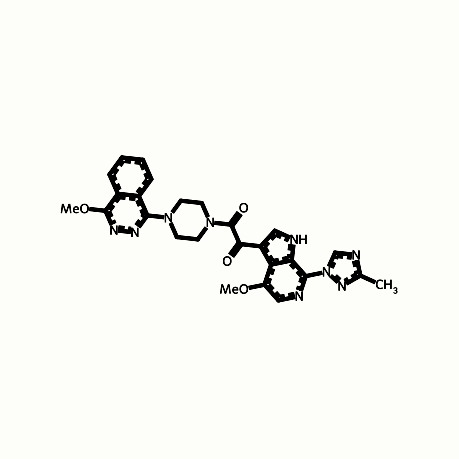 COc1nnc(N2CCN(C(=O)C(=O)c3c[nH]c4c(-n5cnc(C)n5)ncc(OC)c34)CC2)c2ccccc12